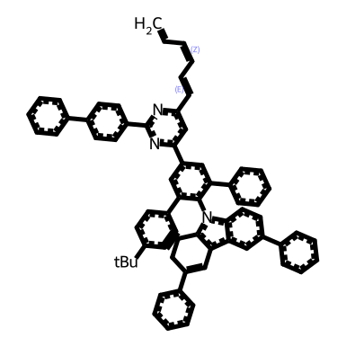 C=C/C=C\C=C\c1cc(-c2cc(-c3c#cc(C(C)(C)C)cc3)c(-n3c4c(c5cc(-c6ccccc6)ccc53)C=C(c3ccccc3)CC4)c(-c3ccccc3)c2)nc(-c2ccc(-c3ccccc3)cc2)n1